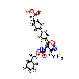 CCc1noc(-c2ccc(-c3ccc(CC(=O)O)cc3)cc2)c1NC(=O)OCCc1ccccc1